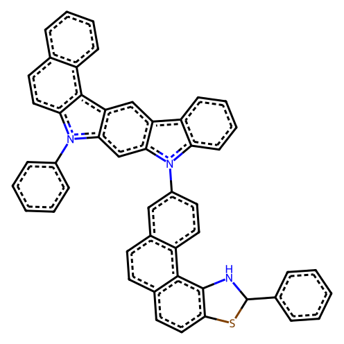 c1ccc(C2Nc3c(ccc4ccc5cc(-n6c7ccccc7c7cc8c9c%10ccccc%10ccc9n(-c9ccccc9)c8cc76)ccc5c34)S2)cc1